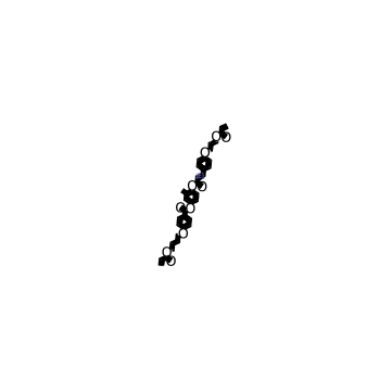 C=CC(=O)OCCCCOc1ccc(C(=O)Oc2ccc(OC(=O)/C=C/c3ccc(OCCCOC(=O)C=C)cc3)c(C)c2)cc1